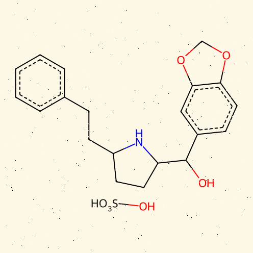 O=S(=O)(O)O.OC(c1ccc2c(c1)OCO2)C1CCC(CCc2ccccc2)N1